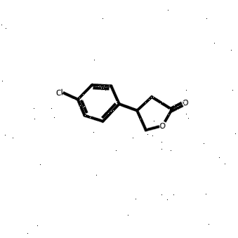 O=C1CC(c2ccc(Cl)cc2)CO1